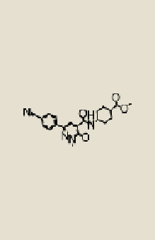 COC(=O)[C@H]1CC[C@H](NC(=O)c2cc(-c3ccc(C#N)cc3)nn(C)c2=O)CC1